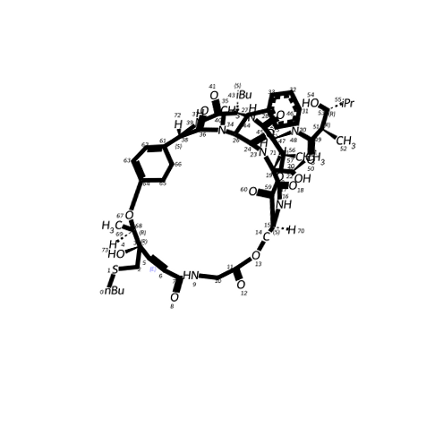 CCCCSC[C@@]1(O)/C=C/C(=O)NCC(=O)OC[C@@H]2NC(=O)[C@@H]([C@@H](C)O)NC(=O)C(Cc3ccccc3)N(C)C(=O)[C@@H](NC(=O)[C@@H]([C@@H](C)CC)NC(=O)[C@@H](NC(=O)[C@H](C)[C@H](O)C(C)C)[C@@H](C)OC2=O)C2=CC=C(CC2)O[C@@H]1C